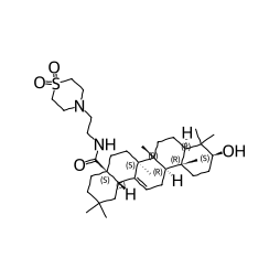 CC1(C)CC[C@]2(C(=O)NCCN3CCS(=O)(=O)CC3)CC[C@]3(C)C(=CC[C@@H]4[C@@]5(C)CC[C@H](O)C(C)(C)[C@@H]5CC[C@]43C)[C@@H]2C1